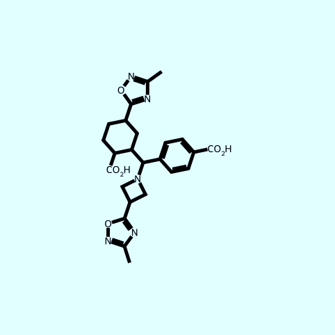 Cc1noc(C2CCC(C(=O)O)C(C(c3ccc(C(=O)O)cc3)N3CC(c4nc(C)no4)C3)C2)n1